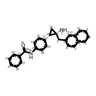 N[C@@]1(Cc2ccc3ccccc3c2)C[C@H]1c1ccc(NC(=O)c2ccccc2)cc1